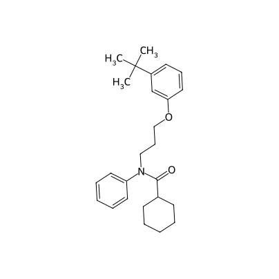 CC(C)(C)c1cccc(OCCCN(C(=O)C2CCCCC2)c2ccccc2)c1